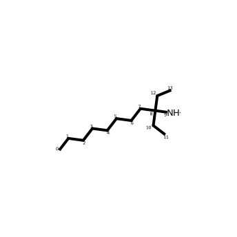 CCCCCCCCC([NH])(CC)CC